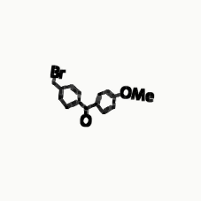 COc1ccc(C(=O)c2ccc(CBr)cc2)cc1